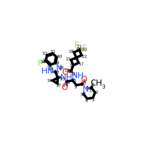 CC1CCCCN1C(=O)CC(NC(=O)C1CC2(C1)CC(F)(F)C2)C(=O)NC1(c2nc3cccc(F)c3[nH]2)CC1